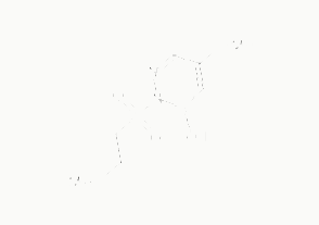 COCCS(=O)(=O)N1N=CC(OC)=CB1O